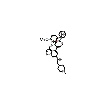 COc1ccc(CN2C3CC2CN(c2ccc(-c4cc(NCC5CCN(C)CC5)cn5ncc(C#N)c45)cn2)C3)cn1